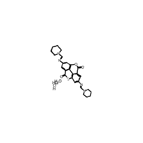 Cl.Cl.O.O=c1oc2cc(N=CN3CCCCC3)cc3c(=O)oc4cc(N=CN5CCCCC5)cc1c4c23